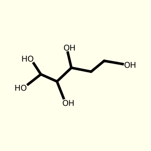 OCCC(O)C(O)C(O)O